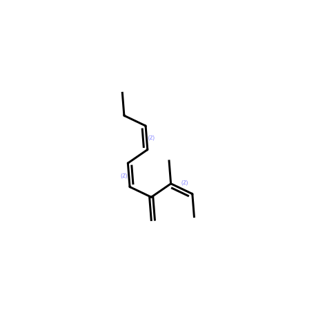 C=C(/C=C\C=C/CC)/C(C)=C\C